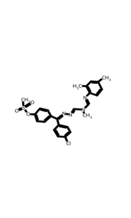 Cc1ccc(N=CN(C)C=NN=C(c2ccc(Cl)cc2)c2ccc(OS(C)(=O)=O)cc2)c(C)c1